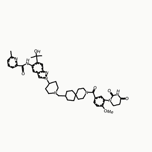 COc1ccc(C(=O)N2CCC3(CCC(CN4CCC(n5cc6cc(NC(=O)c7cccc(C)n7)c(C(C)(C)O)cc6n5)CC4)CC3)CC2)cc1N1CCC(=O)NC1=O